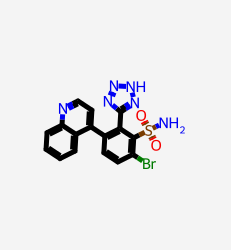 NS(=O)(=O)c1c(Br)ccc(-c2ccnc3ccccc23)c1-c1nn[nH]n1